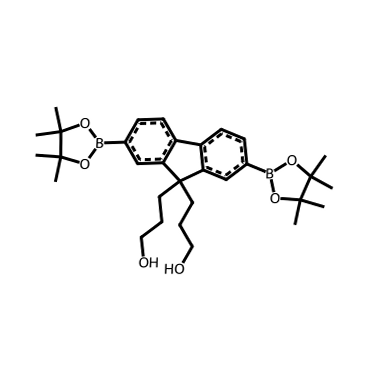 CC1(C)OB(c2ccc3c(c2)C(CCCO)(CCCO)c2cc(B4OC(C)(C)C(C)(C)O4)ccc2-3)OC1(C)C